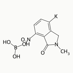 CN1Cc2[c]([K])ccc([N+](=O)[O-])c2C1=O.OB(O)O